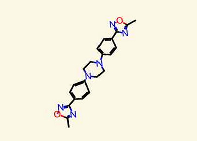 Cc1nc(-c2ccc(N3CCN(c4ccc(-c5noc(C)n5)cc4)CC3)cc2)no1